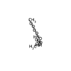 C=C1CCC(N2C(=O)c3cccc(NCCOCCOCCOCCOCCC)c3C2=O)C(=O)N1